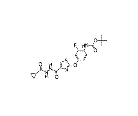 CC(C)(C)OC(=O)Nc1ccc(Oc2nc(C(=O)NNC(=O)C3CC3)cs2)cc1F